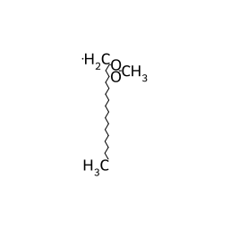 [CH2]C(CCCCCCCCCCCCCCCCC)OC(C)=O